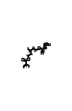 C=C(C)C(=O)OCCC(C)CCO[SiH](C)OCCCC